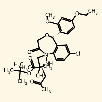 CCOc1ccc([C@H]2OCC(=O)[N+](CC(C)(C)C)(N[C@@H](CC(C)=O)C(=O)OC(C)(C)C)c3ccc(Cl)cc32)c(OC)c1